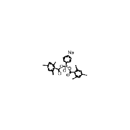 Cc1cc(C)c(C(=O)OP(=O)(OC(=O)c2c(C)cc(C)cc2C)c2ccccc2)c(C)c1.[Na]